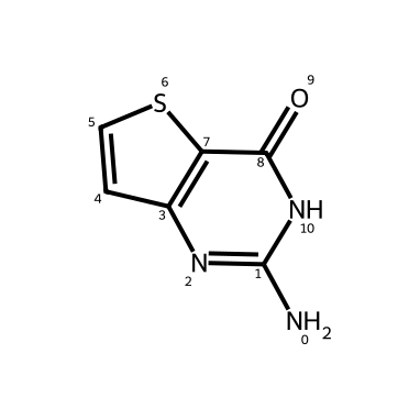 Nc1nc2ccsc2c(=O)[nH]1